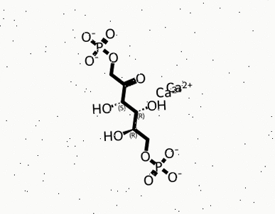 O=C(COP(=O)([O-])[O-])[C@@H](O)[C@H](O)[C@H](O)COP(=O)([O-])[O-].[Ca+2].[Ca+2]